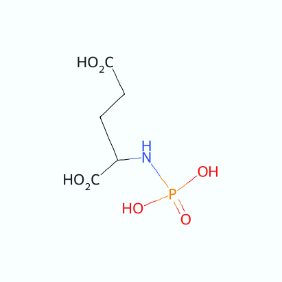 O=C(O)CCC(NP(=O)(O)O)C(=O)O